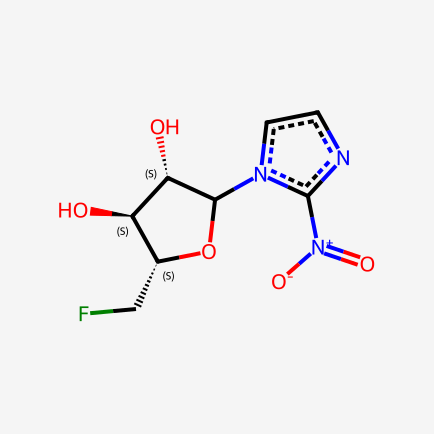 O=[N+]([O-])c1nccn1C1O[C@H](CF)[C@@H](O)[C@@H]1O